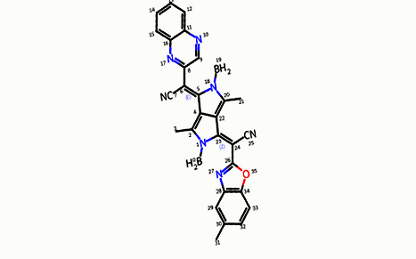 Bn1c(C)c2/c(=C(\C#N)c3cnc4ccccc4n3)n(B)c(C)c2/c1=C(\C#N)c1nc2cc(C)ccc2o1